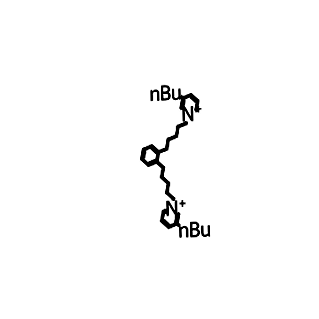 CCCCc1ccc[n+](CCCCCc2ccccc2CCCCC[n+]2cccc(CCCC)c2)c1